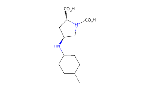 CC1CCC(N[C@H]2C[C@@H](C(=O)O)N(C(=O)O)C2)CC1